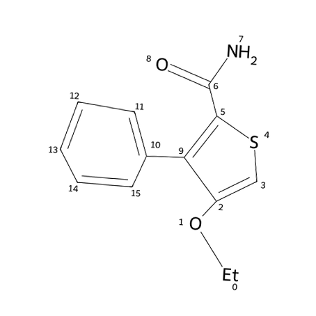 CCOc1csc(C(N)=O)c1-c1ccccc1